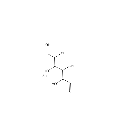 OCC(O)C(O)C(O)C(O)C=S.[Au]